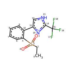 CCS(=O)(=O)c1ccccc1-c1c[nH]c(C(F)(F)F)n1